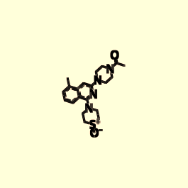 CC(=O)N1CCN(c2cc3c(C)cccc3c(N3CC[S+]([O-])CC3)n2)CC1